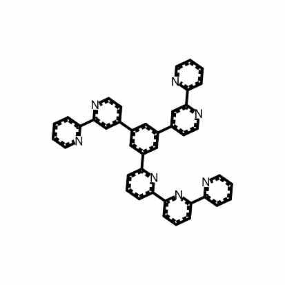 c1ccc(-c2cc(-c3cc(-c4ccnc(-c5ccccn5)c4)cc(-c4cccc(-c5cccc(-c6ccccn6)n5)n4)c3)ccn2)nc1